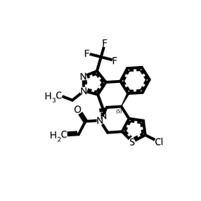 C=CC(=O)N1Cc2sc(Cl)cc2[C@H](c2ccccc2-c2c(C(F)(F)F)nn(CC)c2C#N)C1